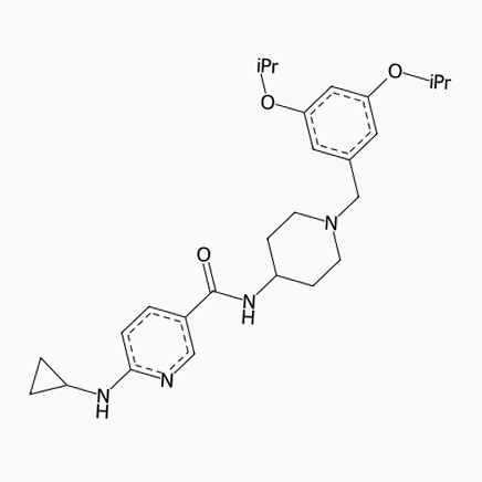 CC(C)Oc1cc(CN2CCC(NC(=O)c3ccc(NC4CC4)nc3)CC2)cc(OC(C)C)c1